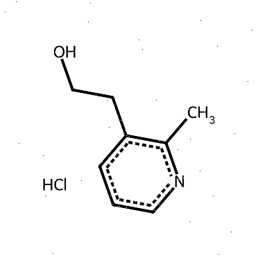 Cc1ncccc1CCO.Cl